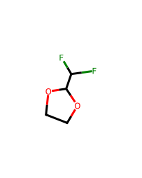 FC(F)C1OCCO1